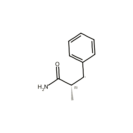 C[C@@H]([CH]c1ccccc1)C(N)=O